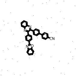 N#Cc1ccc(-c2ccc(-c3nc4ccccc4nc3-c3ccc(-c4nc5ccccc5o4)cc3)cc2)cc1